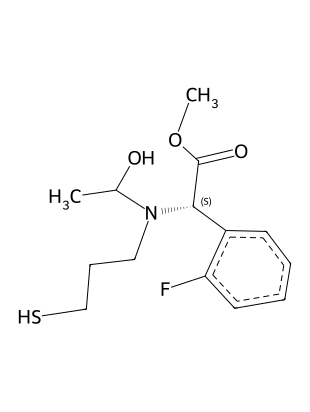 COC(=O)[C@H](c1ccccc1F)N(CCCS)C(C)O